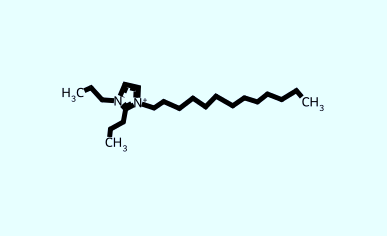 CCCCCCCCCCCCC[n+]1ccn(CCC)c1CCC